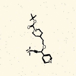 CC(C)(C)OC(=O)N1CCC(CCOC(C#C[Si](C)(C)C)c2ccncc2)CC1